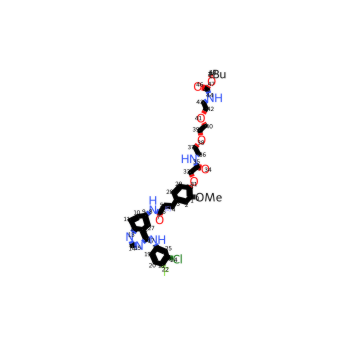 COc1cc(/C=C/C(=O)Nc2ccc3ncnc(Nc4ccc(F)c(Cl)c4)c3c2)ccc1OCC(=O)NCCOCCOCCNC(=O)OC(C)(C)C